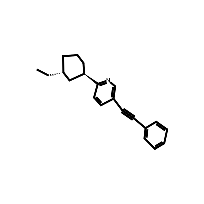 CC[C@@H]1CCC[C@@H](c2ccc(C#Cc3ccccc3)cn2)C1